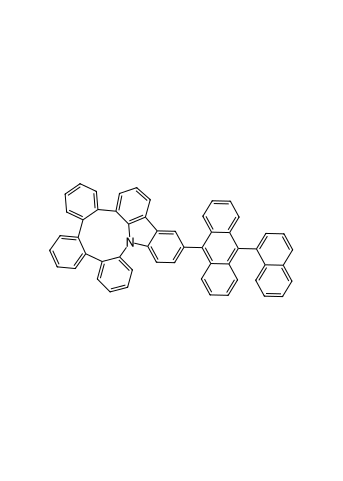 c1ccc2c(-c3c4ccccc4c(-c4ccc5c(c4)c4cccc6c7ccccc7c7ccccc7c7ccccc7n5c64)c4ccccc34)cccc2c1